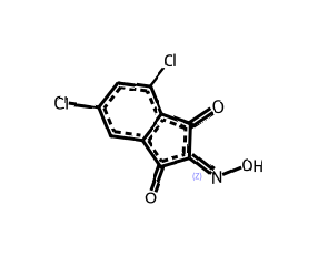 O=c1/c(=N/O)c(=O)c2c(Cl)cc(Cl)cc12